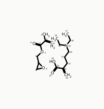 C=C(C)C(=O)OCC1CO1.C=C(CCCN(CC)CC)C(=O)O